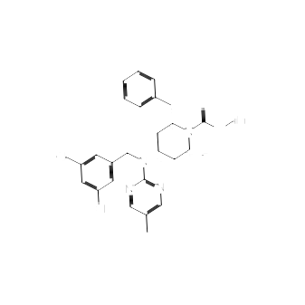 CC[C@@H]1C[C@H](N(Cc2cc(Cl)cc(C(F)(F)F)c2)c2ncc(C)cn2)C[C@H](Cc2ccccc2)N1C(=O)OC(C)C